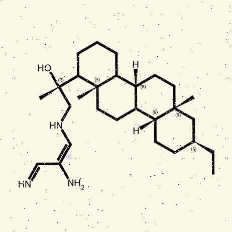 CC[C@H]1CC[C@@H]2C3CC[C@@]4(C)C(CCCC4[C@@](C)(O)CN/C=C(/N)C=N)[C@@H]3CC[C@]2(C)C1